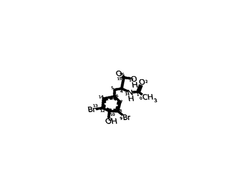 CC(=O)NC(Cc1cc(Br)c(O)c(Br)c1)C(=O)O